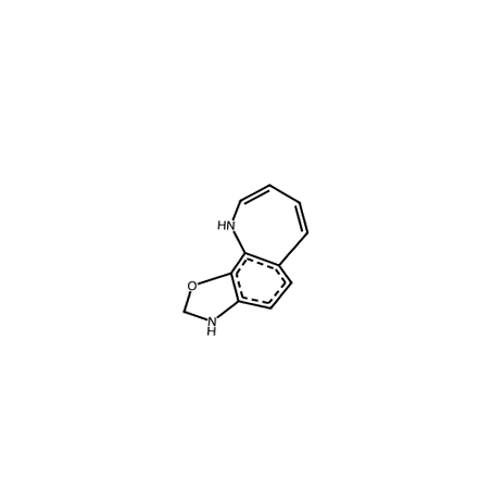 C1=CNc2c(ccc3c2OCN3)C=C1